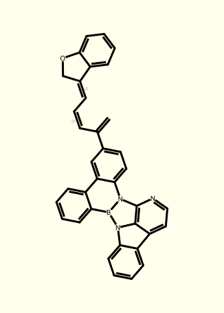 C=C(/C=C\C=C1/COc2ccccc21)c1ccc2c(c1)-c1ccccc1B1N2c2nccc3c4ccccc4n1c23